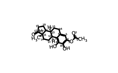 CC(=O)Oc1cc2c(c(O)c1O)[C@H]1CC[C@]3(C)C(=O)CC[C@H]3[C@@H]1CC2